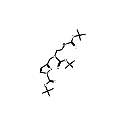 CC(C)(C)OC(=O)NCCN(Cc1ccn(C(=O)OC(C)(C)C)n1)C(=O)OC(C)(C)C